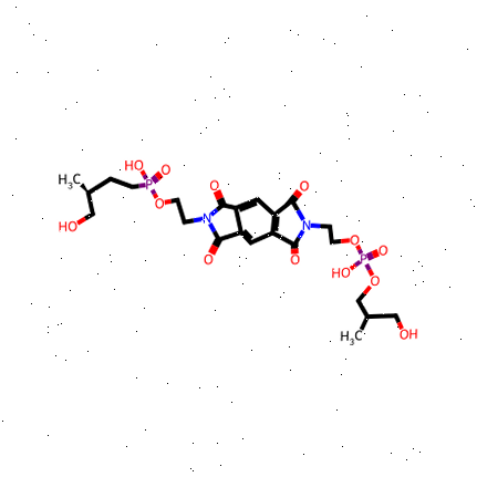 CC(CO)COP(=O)(O)OCCn1c(=O)c2cc3c(=O)n(CCOP(=O)(O)CC[C@H](C)CO)c(=O)c3cc2c1=O